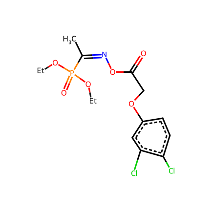 CCOP(=O)(OCC)C(C)=NOC(=O)COc1ccc(Cl)c(Cl)c1